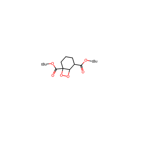 CC(C)(C)OC(=O)C1CCCC2(C(=O)OC(C)(C)C)OOC12